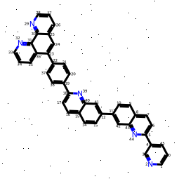 c1cncc(-c2ccc3ccc(-c4ccc5ccc(-c6ccc(-c7cc8cccnc8c8ncccc78)cc6)nc5c4)cc3n2)c1